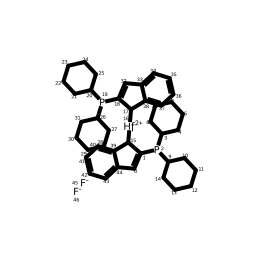 C1=C(P(C2CCCCC2)C2CCCCC2)[CH]([Hf+2][CH]2C(P(C3CCCCC3)C3CCCCC3)=Cc3ccccc32)c2ccccc21.[F-].[F-]